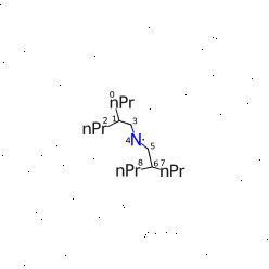 CCCC(CCC)C[N]CC(CCC)CCC